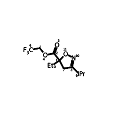 CCC1(C(=O)OCC(F)(F)F)CC(C(C)C)=NO1